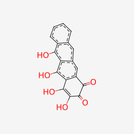 O=C1C(=O)c2cc3cc4ccccc4c(O)c3c(O)c2C(O)=C1O